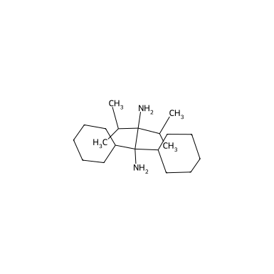 CC(C)C(N)(C(C)C)C(N)(C1CCCCC1)C1CCCCC1